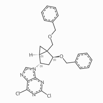 Clc1nc(Cl)c2ncn([C@H]3C[C@H](OCc4ccccc4)C4(COCc5ccccc5)C[C@H]34)c2n1